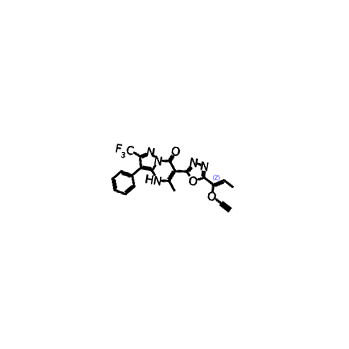 C#CO/C(=C\C)c1nnc(-c2c(C)[nH]c3c(-c4ccccc4)c(C(F)(F)F)nn3c2=O)o1